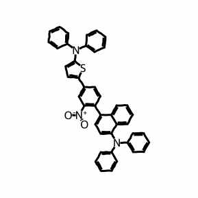 O=[N+]([O-])c1cc(-c2ccc(N(c3ccccc3)c3ccccc3)s2)ccc1-c1ccc(N(c2ccccc2)c2ccccc2)c2ccccc12